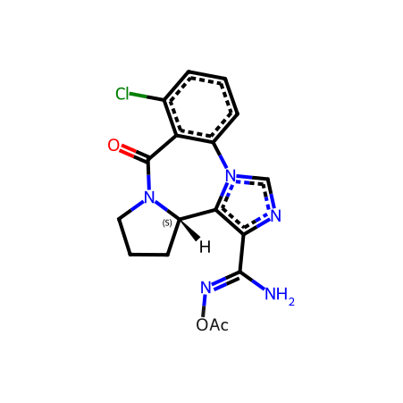 CC(=O)ON=C(N)c1ncn2c1[C@@H]1CCCN1C(=O)c1c(Cl)cccc1-2